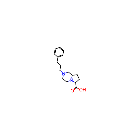 O=C(O)C1CCC2CN(CCCc3ccccc3)CCN21